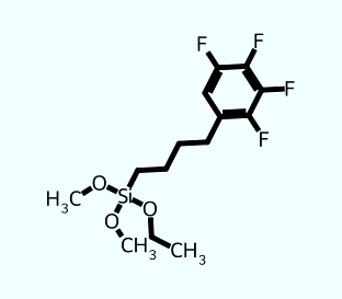 CCO[Si](CCCCc1cc(F)c(F)c(F)c1F)(OC)OC